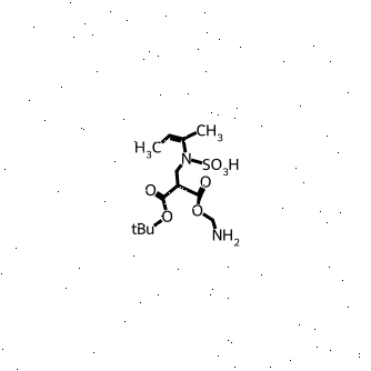 C/C=C(/C)N(CC(C(=O)OCN)C(=O)OC(C)(C)C)S(=O)(=O)O